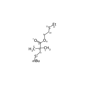 CCCCSCC(C)(C)C(=O)OCCSCC